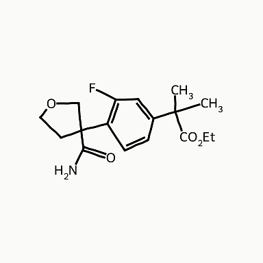 CCOC(=O)C(C)(C)c1ccc(C2(C(N)=O)CCOC2)c(F)c1